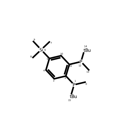 CP(c1ccc([Si](C)(C)C)cc1P(C)C(C)(C)C)C(C)(C)C